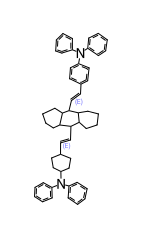 C(=C\C1C2CCCCC2C(/C=C/C2CCC(N(c3ccccc3)c3ccccc3)CC2)C2CCCCC12)/c1ccc(N(c2ccccc2)c2ccccc2)cc1